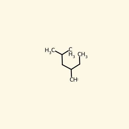 [CH]C(CC)CC(C)C